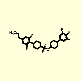 CCCc1cc(F)c(C2CCC(C(F)(F)OC3CCC(c4cc(F)c(F)c(F)c4)CC3)CC2)c(F)c1